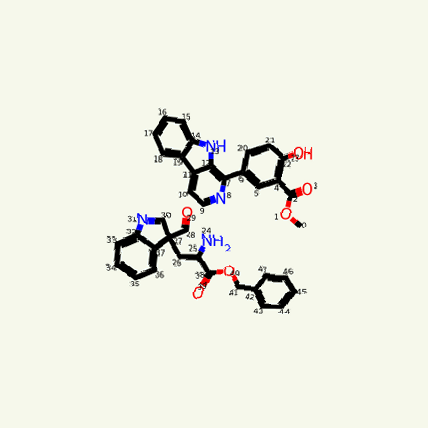 COC(=O)c1cc(-c2nccc3c2[nH]c2ccccc23)ccc1O.NC(CC1(C=O)C=Nc2ccccc21)C(=O)OCc1ccccc1